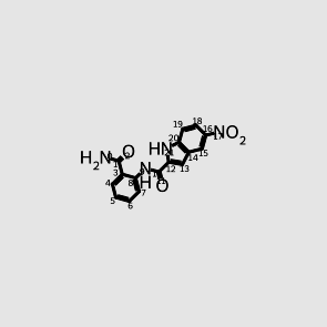 NC(=O)c1ccccc1NC(=O)c1cc2cc([N+](=O)[O-])ccc2[nH]1